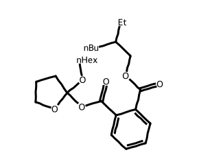 CCCCCCOC1(OC(=O)c2ccccc2C(=O)OCC(CC)CCCC)CCCO1